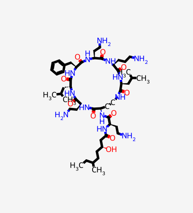 CCC(C)CC[C@@H](O)CC(=O)N[C@H](CCN)C(=O)N[C@H]1CCNC(=O)[C@H](CC(C)C)NC(=O)[C@H](CCCN)NC(=O)[C@H](CCN)NC(=O)[C@H](Cc2ccccc2)NC(=O)[C@@H](CC(C)C)NC(=O)[C@H](CCN)NC1=O